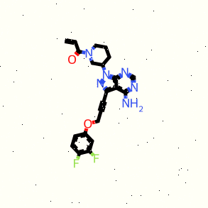 C=CC(=O)N1CCCC(n2nc(C#CCOc3ccc(F)c(F)c3)c3c(N)ncnc32)C1